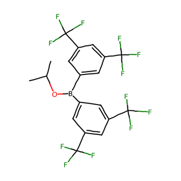 CC(C)OB(c1cc(C(F)(F)F)cc(C(F)(F)F)c1)c1cc(C(F)(F)F)cc(C(F)(F)F)c1